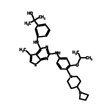 Cc1csc2nc(Nc3ccc(N4CCC(N5CCC5)CC4)c(OC(C)C)c3)nc(Nc3cccc(C(C)(C)O)c3)c12